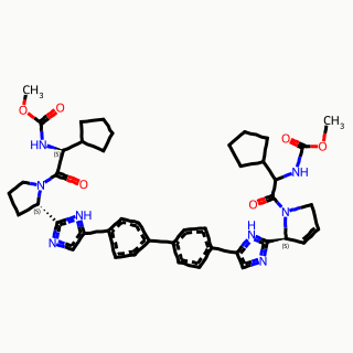 COC(=O)NC(C(=O)N1CC=C[C@H]1c1ncc(-c2ccc(-c3ccc(-c4cnc([C@@H]5CCCN5C(=O)[C@@H](NC(=O)OC)C5CCCC5)[nH]4)cc3)cc2)[nH]1)C1CCCC1